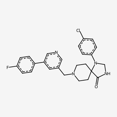 O=C1NCN(c2ccc(Cl)cc2)C12CCN(Cc1cncc(-c3ccc(F)cc3)c1)CC2